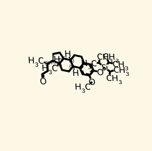 COc1cc2c(cc1O[Si](C(C)C)(C(C)C)C(C)C)CC[C@@H]1[C@@H]2CC[C@]2(C)[C@@H]([C@H](C)CC=O)CC[C@@H]12